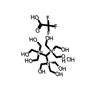 Cl.O=C(O)C(F)(F)F.OC[N+](CO)(CO)C([N+](CO)(CO)CO)[N+](CO)(CO)CO